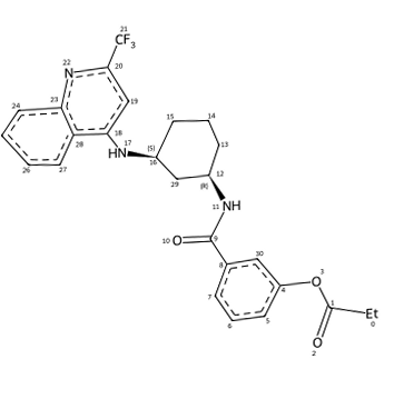 CCC(=O)Oc1cccc(C(=O)N[C@@H]2CCC[C@H](Nc3cc(C(F)(F)F)nc4ccccc34)C2)c1